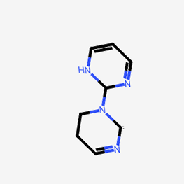 [C]1N=CCCN1C1N=CC=CN1